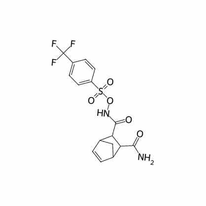 NC(=O)C1C2C=CC(C2)C1C(=O)NOS(=O)(=O)c1ccc(C(F)(F)F)cc1